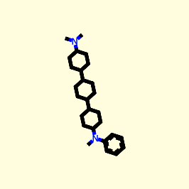 CN(C)C1CCC(C2CCC(C3CCC(N(C)c4ccccc4)CC3)CC2)CC1